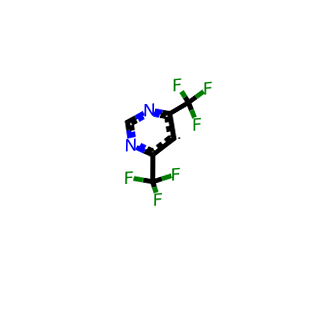 FC(F)(F)c1[c]c(C(F)(F)F)ncn1